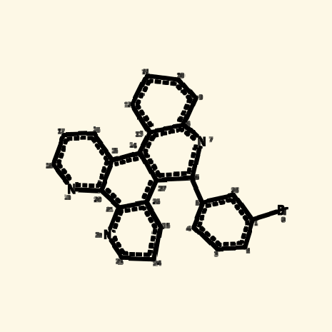 Brc1cccc(-c2nc3ccccc3c3c4cccnc4c4ncccc4c23)c1